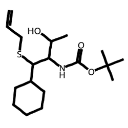 C=CCSC(C1CCCCC1)C(NC(=O)OC(C)(C)C)C(C)O